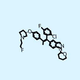 C/C(=C(\c1ccc2c(cnn2C2CCCCO2)c1)c1cc(F)ccc1Cl)c1ccc(O[C@H]2CCN(CCCF)C2)cc1